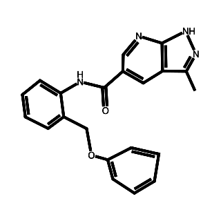 Cc1n[nH]c2ncc(C(=O)Nc3ccccc3COc3ccccc3)cc12